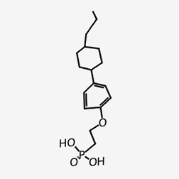 CCCC1CCC(c2ccc(OCCP(=O)(O)O)cc2)CC1